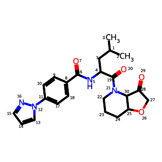 CC(C)CC(NC(=O)c1ccc(-n2cccn2)cc1)C(=O)N1CCCC2OCC(=O)C21